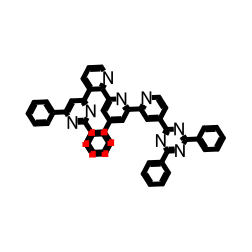 c1ccc(-c2cc(-c3cc(-c4nc(-c5ccccc5)nc(-c5ccccc5)n4)ccn3)nc(-c3ncccc3-c3cc(-c4ccccc4)nc(-c4ccccc4)n3)c2)cc1